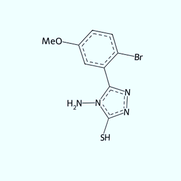 COc1ccc(Br)c(-c2nnc(S)n2N)c1